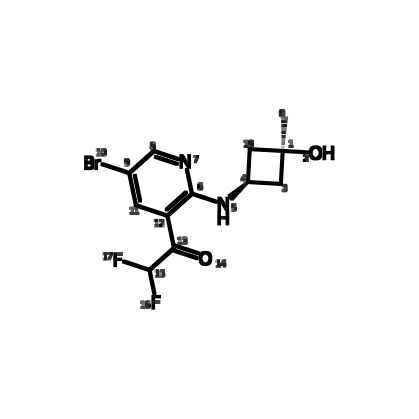 C[C@]1(O)C[C@@H](Nc2ncc(Br)cc2C(=O)C(F)F)C1